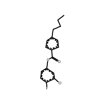 CCCCc1ccc(C(=O)Oc2ccc(F)c(Cl)c2)cc1